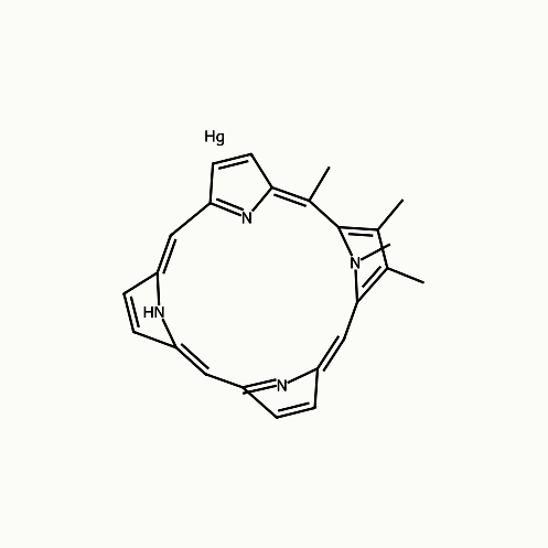 Cc1c(C)c2c(C)c3nc(cc4ccc(cc5nc(cc1n2C)C=C5)[nH]4)C=C3.[Hg]